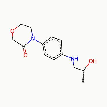 [CH2][C@@H](O)CNc1ccc(N2CCOCC2=O)cc1